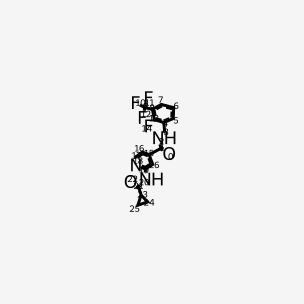 O=C(NCc1cccc(C(F)(F)F)c1F)c1ccnc(NC(=O)C2CC2)c1